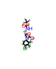 CC(C)(C)OC(=O)NC[C@H]1CN(c2ccc(Br)c(F)c2F)C(=O)O1